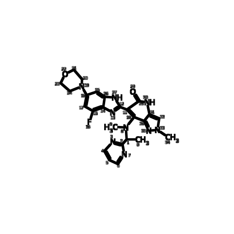 CC(c1ncccn1)N(C)c1c(-c2nc3c(F)cc(N4CCOCC4)cc3[nH]2)c(=O)[nH]c2cn(C)nc12